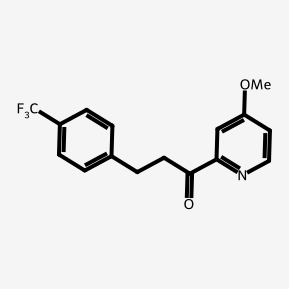 COc1ccnc(C(=O)CCc2ccc(C(F)(F)F)cc2)c1